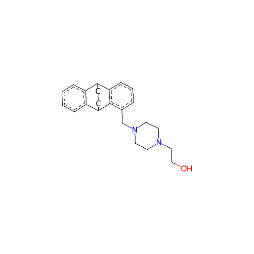 OCCN1CCN(Cc2cccc3c2C2CCC3c3ccccc32)CC1